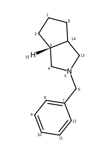 [CH]1CC[C@H]2CN(Cc3ccccc3)CC12